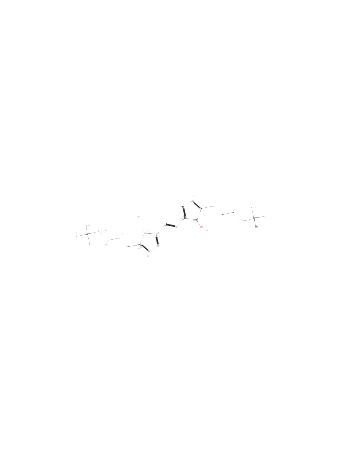 CC(C)(CCCCC1=CC=C(/C=C/C2=CC=C(CCCCC(C)(C)C(=O)O)C2O)C1O)C(=O)O